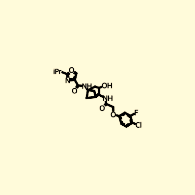 CC(C)c1nc(C(=O)NC23CC(=C(NC(=O)COc4ccc(Cl)c(F)c4)C(O)C2)C3)co1